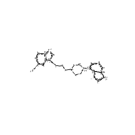 Fc1ccc2occ(CCCN3CCN(c4cccc5[nH]ccc45)CC3)c2c1